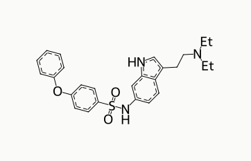 CCN(CC)CCc1c[nH]c2cc(NS(=O)(=O)c3ccc(Oc4ccccc4)cc3)ccc12